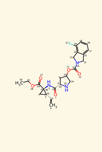 C=C[C@@H]1C[C@]1(NC(=O)[C@@H]1CC(OC(=O)N2Cc3cccc(F)c3C2)CN1)C(=O)OCC